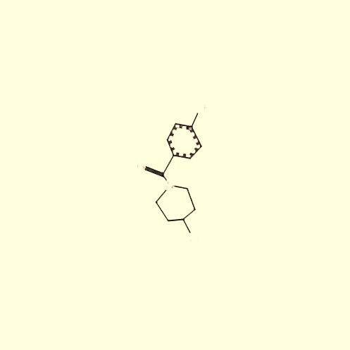 CC1CCN(C(=O)c2ccc(C(F)(F)F)cc2)CC1